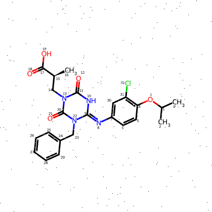 CC(C)Oc1ccc(/N=c2\[nH]c(=O)n(C[C@H](C)C(=O)O)c(=O)n2Cc2ccccc2)cc1Cl